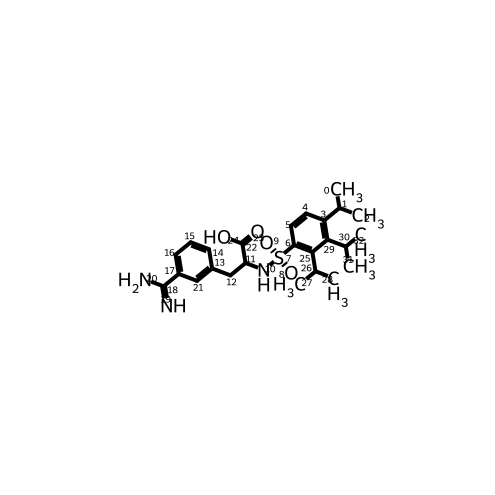 CC(C)c1ccc(S(=O)(=O)NC(Cc2cccc(C(=N)N)c2)C(=O)O)c(C(C)C)c1C(C)C